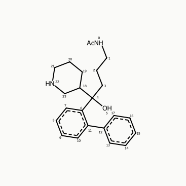 CC(=O)NCCCC(O)(c1ccccc1-c1ccccc1)C1CCCNC1